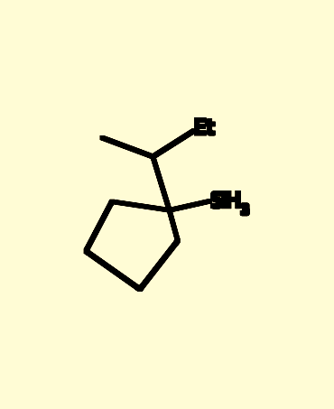 CCC(C)C1([SiH3])CCCC1